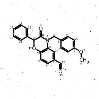 COc1ccc(CN2C(=O)C(c3ccccc3)Oc3ccc(C=O)cc32)cc1